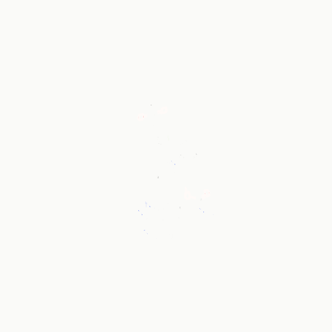 CC(C)(C#Cc1ccc(-c2ccc(Cl)c3c(N)nn(CC(F)F)c23)c([C@H](Cc2cc(F)cc(F)c2)OC(N)=O)n1)S(=O)(=O)C1CC1